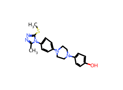 CSc1nnc(C)n1-c1ccc(N2CCN(c3ccc(O)cc3)CC2)cc1